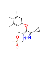 Cc1cc(Oc2c(C3CC3)nn(CS(C)(=O)=O)c2C)cc(C)c1C